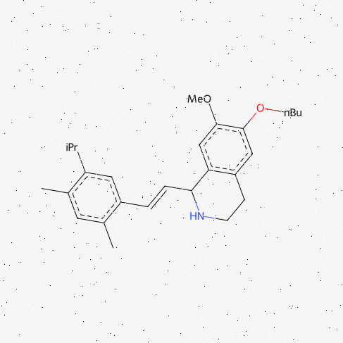 CCCCOc1cc2c(cc1OC)C(/C=C/c1cc(C(C)C)c(C)cc1C)NCC2